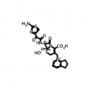 Nc1nc(C(=O)C(=O)N[C@@H]2C(=O)N3C(C(=O)O)=C(C[n+]4cccc5c4CCC5)CS[C@H]23)cs1.[OH-]